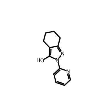 Oc1c2c(nn1-c1ccccn1)CCCC2